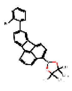 CC(C)(C)c1ccccc1-c1ccc2c(c1)-c1ccc(B3OC(C)(C)C(C)(C)O3)c3cccc-2c13